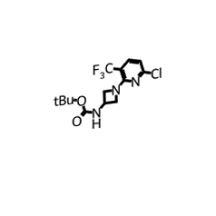 CC(C)(C)OC(=O)NC1CN(c2nc(Cl)ccc2C(F)(F)F)C1